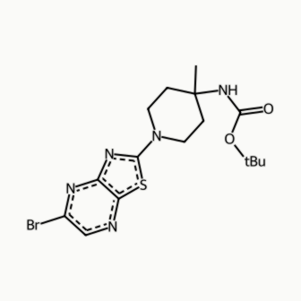 CC1(NC(=O)OC(C)(C)C)CCN(c2nc3nc(Br)cnc3s2)CC1